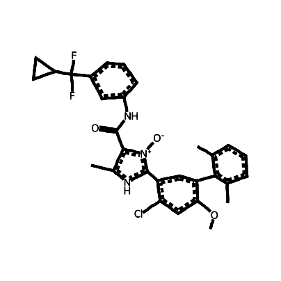 COc1cc(Cl)c(-c2[nH]c(C)c(C(=O)Nc3cccc(C(F)(F)C4CC4)c3)[n+]2[O-])cc1-c1c(C)cccc1C